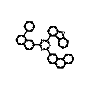 c1ccc(-c2cccc3ccc(-c4nc(-c5ccc6ccc7ccccc7c6c5)nc(-c5cccc6oc7ccccc7c56)n4)cc23)cc1